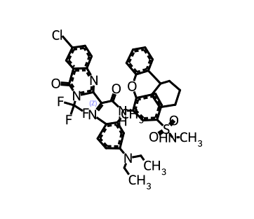 CCN(CC)c1ccc(/N=C(\C(=O)Nc2cc(S(=O)(=O)NC)ccc2Oc2ccccc2C2CCCCC2)c2nc3ccc(Cl)cc3c(=O)n2C(F)(F)F)c(C)c1